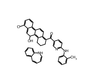 C1=CNc2ccccc2C=C1.Cc1ccccc1Nc1ccc(C(=O)C2=c3ccc4c(c3CCC2)C(O)C=c2c(Cl)cccc2=4)cn1